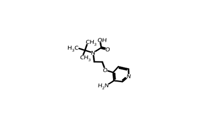 CC(C)(C)N(CCOc1ccncc1N)C(=O)O